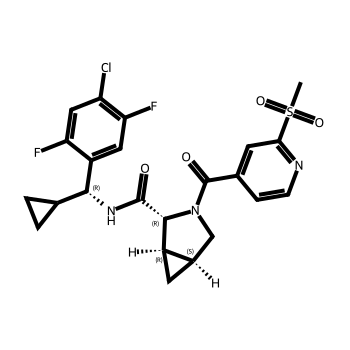 CS(=O)(=O)c1cc(C(=O)N2C[C@H]3C[C@H]3[C@@H]2C(=O)N[C@@H](c2cc(F)c(Cl)cc2F)C2CC2)ccn1